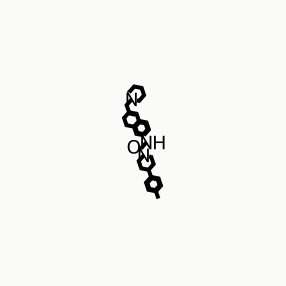 Cc1ccc(C2CCN(C(=O)Nc3ccc4c(c3)CCC(CN3CCCCC3)=C4)CC2)cc1